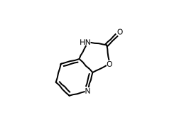 O=c1[nH]c2cccnc2o1